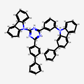 c1ccc(-c2ccc(-c3nc(-c4cccc(-n5c6ccccc6c6ccc(-c7ccccc7)cc65)c4)nc(-n4c5ccccc5c5ccccc54)n3)cc2)cc1